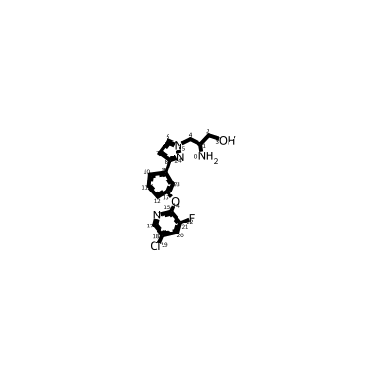 NC(CO)Cn1ccc(-c2cccc(Oc3ncc(Cl)cc3F)c2)n1